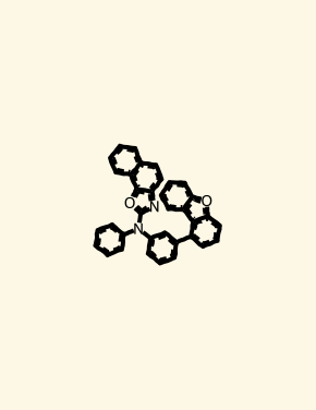 c1ccc(N(c2cccc(-c3cccc4oc5ccccc5c34)c2)c2nc3ccc4ccccc4c3o2)cc1